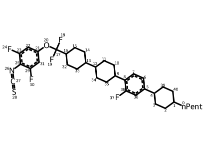 CCCCCC1CCC(c2ccc(C3CCC(C4CCC(C(F)(F)Oc5cc(F)c(N=C=S)c(F)c5)CC4)CC3)c(F)c2)CC1